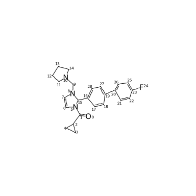 O=C(C1CC1)N1C=CN(CN2CCCC2)C1c1ccc(-c2ccc(F)cc2)cc1